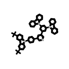 CC(C)(C)c1ccc2c(c1)c1cc(C(C)(C)C)ccc1n2-c1ccc(-c2cncc(-c3cc(-n4c5ccccc5c5ccccc54)cc(-n4c5ccccc5c5ccccc54)c3)c2)cc1